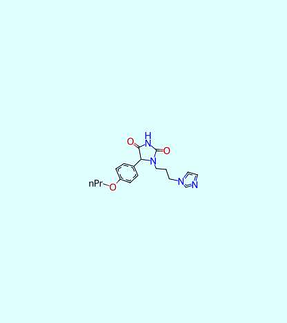 CCCOc1ccc(C2C(=O)NC(=O)N2CCCn2ccnc2)cc1